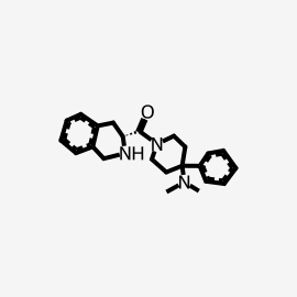 CN(C)C1(c2ccccc2)CCN(C(=O)[C@H]2Cc3ccccc3CN2)CC1